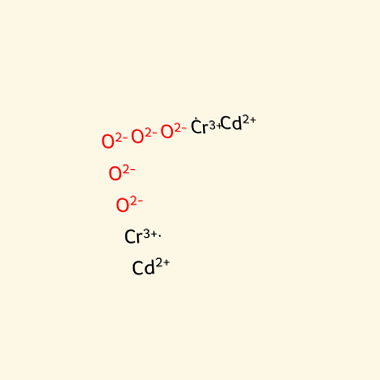 [Cd+2].[Cd+2].[Cr+3].[Cr+3].[O-2].[O-2].[O-2].[O-2].[O-2]